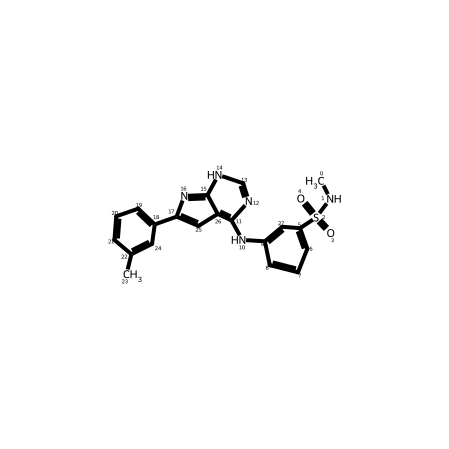 CNS(=O)(=O)c1cccc(Nc2nc[nH]c3nc(-c4cccc(C)c4)cc2-3)c1